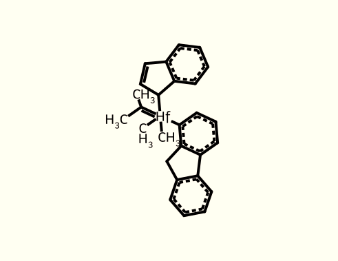 C[C](C)=[Hf]([CH3])([CH3])([c]1cccc2c1Cc1ccccc1-2)[CH]1C=Cc2ccccc21